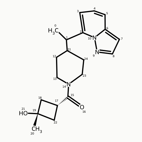 CC(c1cccc2ccnn12)C1CCN(C(=O)[C@H]2C[C@@](C)(O)C2)CC1